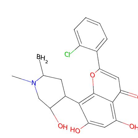 BC1CC(c2c(O)cc(O)c3c(=O)cc(-c4ccccc4Cl)oc23)C(O)CN1C